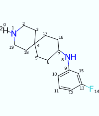 [2H]N1CCC2(CCC(Nc3cccc(F)c3)CC2)CC1